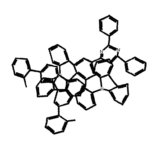 Cc1ccccc1-c1ccc2c(c1)c1cc(-c3ccccc3C)ccc1n2-c1c(-c2ccccc2-n2c3ccccc3c3ccccc32)cc(-c2cc(-c3ccccc3)nc(-c3ccccc3)n2)cc1-c1ccccc1-n1c2ccccc2c2ccccc21